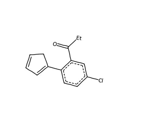 CCC(=O)c1cc(Cl)ccc1C1=CC=CC1